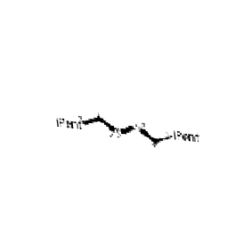 CCCC(C)CSSC[C@H](C)CCC